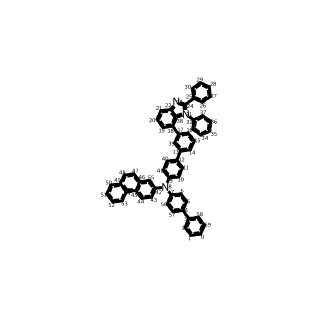 c1ccc(-c2ccc(N(c3ccc(-c4cccc(-c5cccc6nc(-c7ccccc7)n(-c7ccccc7)c56)c4)cc3)c3ccc4c(ccc5ccccc54)c3)cc2)cc1